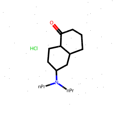 CCCN(CCC)C1CCC2C(=O)CCCC2C1.Cl